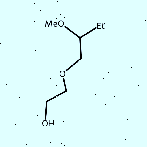 CCC(COCCO)OC